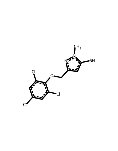 Cn1nc(COc2c(Cl)cc(Cl)cc2Cl)cc1S